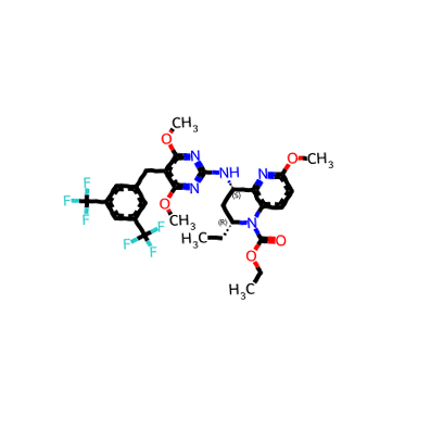 CCOC(=O)N1c2ccc(OC)nc2[C@@H](Nc2nc(OC)c(Cc3cc(C(F)(F)F)cc(C(F)(F)F)c3)c(OC)n2)C[C@H]1CC